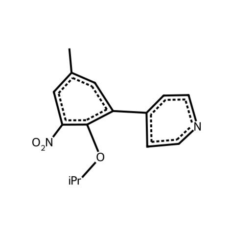 Cc1cc(-c2ccncc2)c(OC(C)C)c([N+](=O)[O-])c1